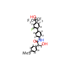 CSc1ccc(C(CO)C(=O)Nc2ccc(-c3ccc(C(O)(C(F)(F)F)C(F)(F)F)cc3F)cc2)cc1